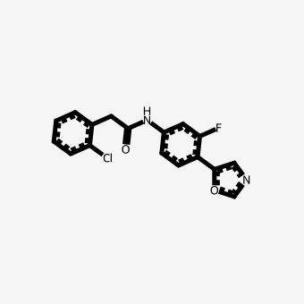 O=C(Cc1ccccc1Cl)Nc1ccc(-c2cnco2)c(F)c1